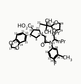 CCCC(CCC)N(C(=O)CN1C[C@H](c2ccc3c(c2)OCO3)[C@@H](C(=O)O)[C@@H]1CC(C)(C)C1OCCO1)c1ccc(F)c(C)c1